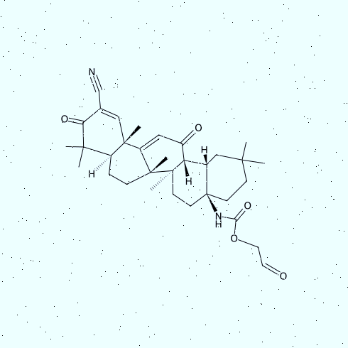 CC1(C)CC[C@]2(NC(=O)OCC=O)CC[C@]3(C)[C@H](C(=O)C=C4[C@@]5(C)C=C(C#N)C(=O)C(C)(C)[C@@H]5CC[C@]43C)[C@@H]2C1